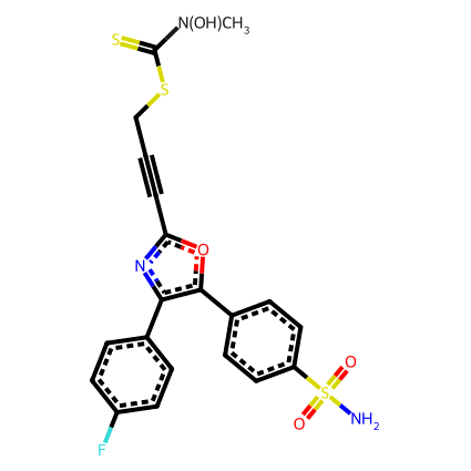 CN(O)C(=S)SCC#Cc1nc(-c2ccc(F)cc2)c(-c2ccc(S(N)(=O)=O)cc2)o1